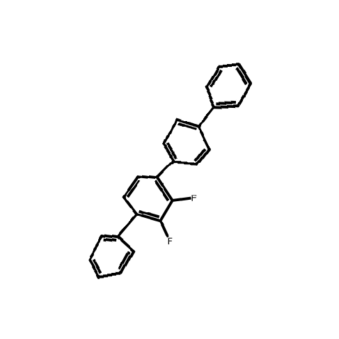 Fc1c(-c2ccccc2)ccc(-c2ccc(-c3ccccc3)cc2)c1F